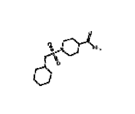 NC(=O)C1CCN(S(=O)(=O)CC2CCCCC2)CC1